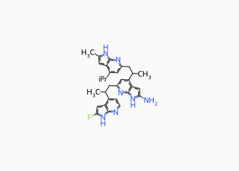 Cc1cc2c(C(C)C)cc(CC(C)c3cc(CC(C)c4ccnc5[nH]c(F)cc45)nc4[nH]c(N)cc34)nc2[nH]1